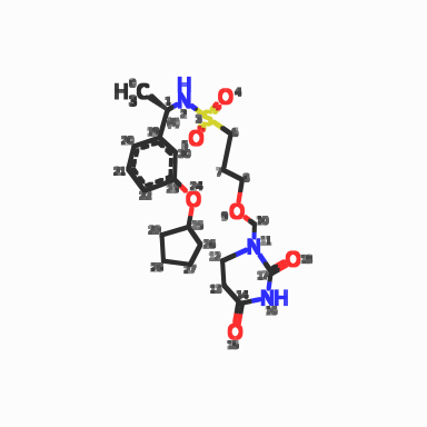 C[C@@H](NS(=O)(=O)CCCOCN1CCC(=O)NC1=O)c1cccc(OC2CCCC2)c1